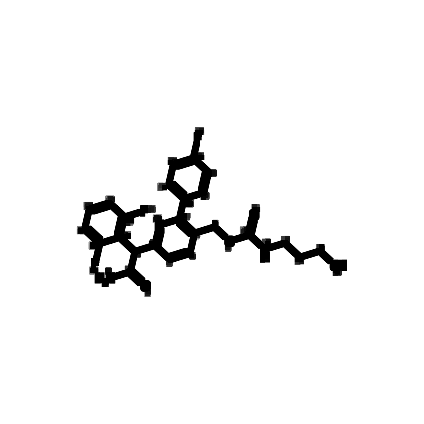 NC(=O)C(c1ccc(COC(=O)NCCCO)c(-c2ccc(F)cc2)n1)c1c(F)cccc1F